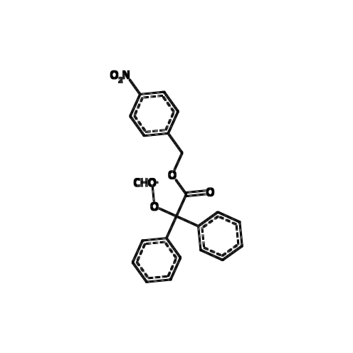 O=[C]OC(C(=O)OCc1ccc([N+](=O)[O-])cc1)(c1ccccc1)c1ccccc1